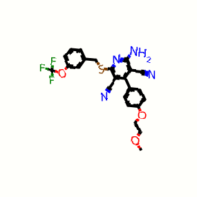 COCCOc1ccc(-c2c(C#N)c(N)nc(SCc3cccc(OC(F)(F)F)c3)c2C#N)cc1